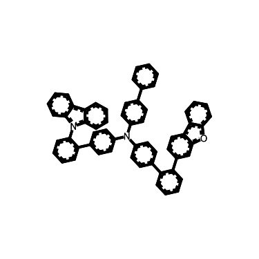 c1ccc(-c2ccc(N(c3ccc(-c4ccccc4-c4ccc5c(c4)oc4ccccc45)cc3)c3ccc(-c4ccccc4-n4c5ccccc5c5ccccc54)cc3)cc2)cc1